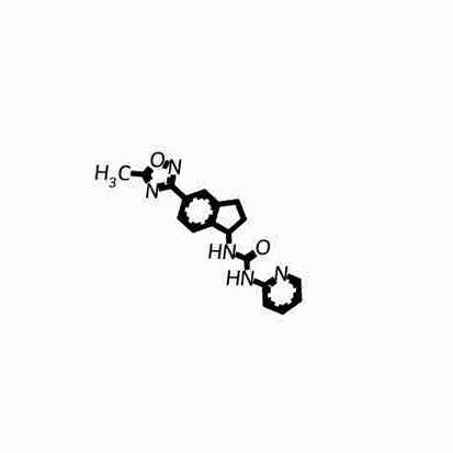 Cc1nc(-c2ccc3c(c2)CCC3NC(=O)Nc2ccccn2)no1